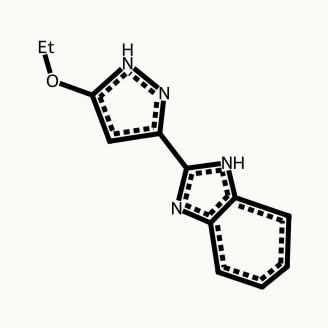 CCOc1cc(-c2nc3ccccc3[nH]2)n[nH]1